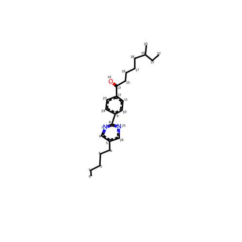 CCCCCc1cnc(-c2ccc(C(=O)CCCCC(C)CC)cc2)nc1